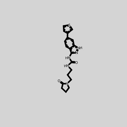 O=C(NCCCN1CCCC1=O)Nc1n[nH]c2cc(-c3ccsc3)ccc12